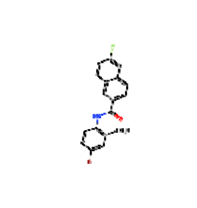 O=C(Nc1ccc(Br)cc1C(=O)O)c1ccc2cc(F)ccc2c1